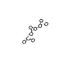 c1ccc(-n2c3ccccc3c3cc(-c4ccc5c(c4)c4ccccc4n5-c4ccc5c(c4)nc4c6oc7ccccc7c6c6sc7ccccc7c6n54)ccc32)cc1